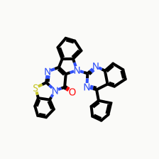 O=c1c2c(nc3sc4ccccc4n13)c1ccccc1n2-c1nc(-c2ccccc2)c2ccccc2n1